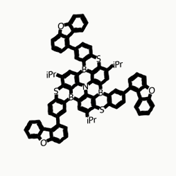 CC(C)c1cc2c3c4c1Sc1ccc(-c5cccc6oc7ccccc7c56)cc1B4c1cc(C(C)C)c4c5c1N3c1c(cc(C(C)C)c3c1B2c1cc(-c2cccc6oc7ccccc7c26)ccc1S3)B5c1cc(-c2cccc3oc5ccccc5c23)ccc1S4